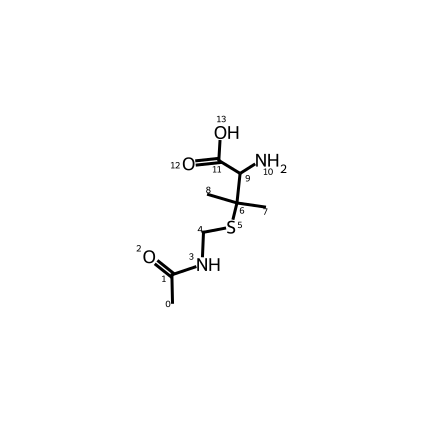 CC(=O)NCSC(C)(C)C(N)C(=O)O